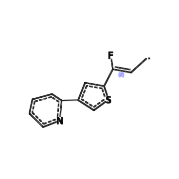 [CH2]/C=C(\F)c1cc(-c2ccccn2)cs1